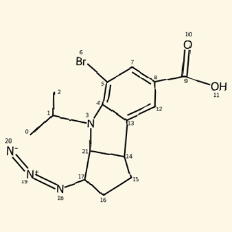 CC(C)N1c2c(Br)cc(C(=O)O)cc2C2CCC(N=[N+]=[N-])C21